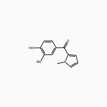 Cn1cccc1C(=O)c1ccc(O)c(C(C)(C)C)c1